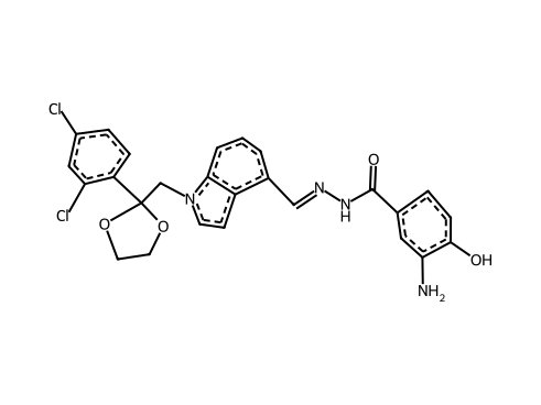 Nc1cc(C(=O)N/N=C/c2cccc3c2ccn3CC2(c3ccc(Cl)cc3Cl)OCCO2)ccc1O